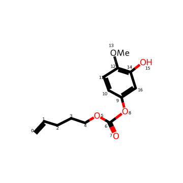 C=CCCCOC(=O)Oc1ccc(OC)c(O)c1